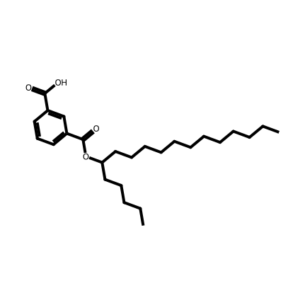 CCCCCCCCCCCCC(CCCCC)OC(=O)c1cccc(C(=O)O)c1